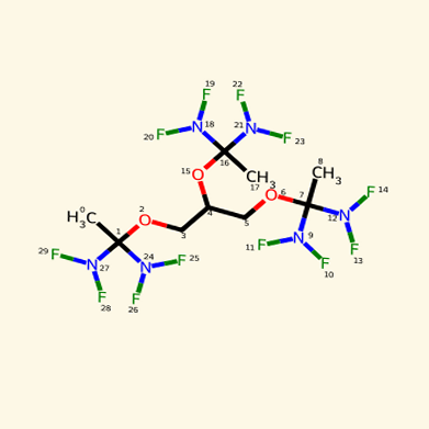 CC(OCC(COC(C)(N(F)F)N(F)F)OC(C)(N(F)F)N(F)F)(N(F)F)N(F)F